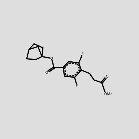 COC(=O)CCc1c(F)cc(C(=O)OC23CCC(CC2)C3)cc1F